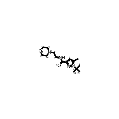 Cc1cc(C(=O)NCCN2CCOCC2)nn1C(C)(C)C